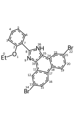 CCOc1ccccc1-c1nc2c3cc(Br)ccc3c3ccc(Br)cc3c2[nH]1